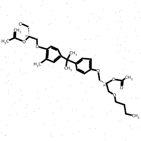 C=C(C)O[C@H](CCl)COc1ccc(C(C)(C)c2ccc(OC[C@@H](COCCCC)OC(C)=O)cc2)cc1C